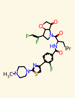 CC(C)CC(NC(=O)c1ccc(-c2csc(N3CCN(C)CC3)n2)c(F)c1)C(=O)N1CC(C(F)=CF)C2OCC(=O)C21